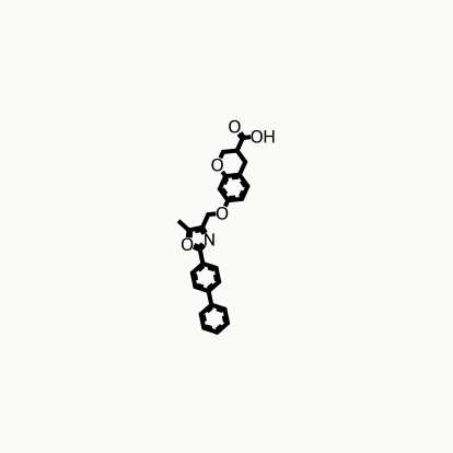 Cc1oc(-c2ccc(-c3ccccc3)cc2)nc1COc1ccc2c(c1)OCC(C(=O)O)C2